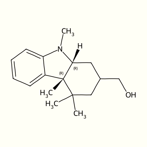 CN1c2ccccc2[C@]2(C)[C@H]1CC(CO)CC2(C)C